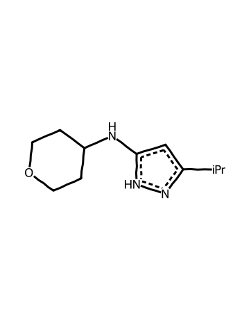 CC(C)c1cc(NC2CCOCC2)[nH]n1